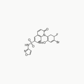 COC1=C(n2c(=O)ccc3cc(S(=O)(=O)Nc4ccon4)ccc32)CC(F)C(Br)=C1